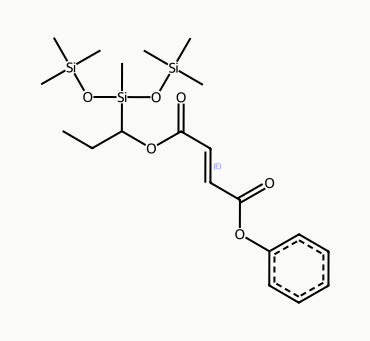 CCC(OC(=O)/C=C/C(=O)Oc1ccccc1)[Si](C)(O[Si](C)(C)C)O[Si](C)(C)C